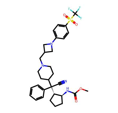 COC(=O)N[C@H]1CCC[C@@H]1C(C#N)(c1ccccc1)C1CCN(CC2CN(c3ccc(S(=O)(=O)C(F)(F)F)cc3)C2)CC1